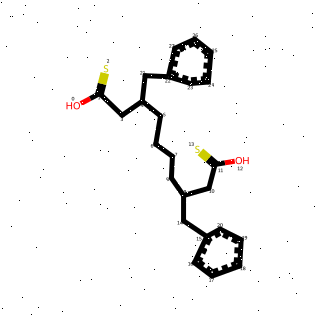 OC(=S)CC(CCCCC(CC(O)=S)Cc1ccccc1)Cc1ccccc1